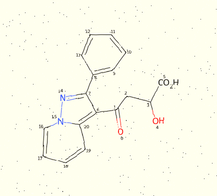 O=C(CC(O)C(=O)O)c1c(-c2ccccc2)nn2ccccc12